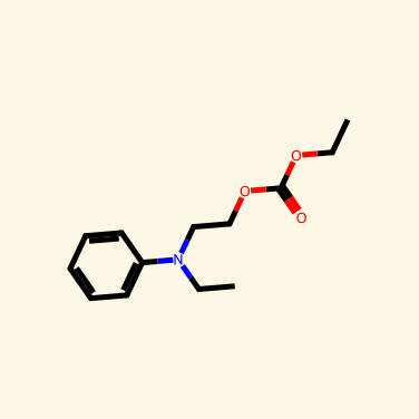 CCOC(=O)OCCN(CC)c1ccccc1